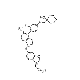 O=C(O)C[C@@H]1COc2cc(O[C@@H]3CCc4c3ccc(C(F)(F)F)c4-c3ccc(OCC4(O)CCSCC4)cc3F)ccc21